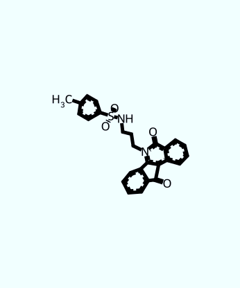 Cc1ccc(S(=O)(=O)NCCCn2c3c(c4ccccc4c2=O)C(=O)c2ccccc2-3)cc1